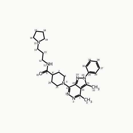 Cc1nnc(N2CCC(C(=O)NCCCN3CCCC3)CC2)c2nn(-c3ccccc3)c(C)c12